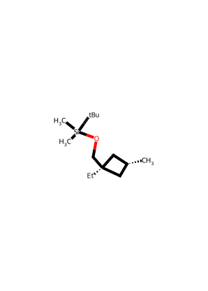 CC[C@]1(CO[Si](C)(C)C(C)(C)C)C[C@H](C)C1